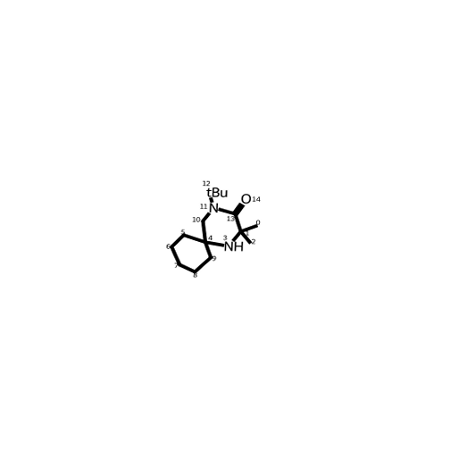 CC1(C)NC2(CCCCC2)CN(C(C)(C)C)C1=O